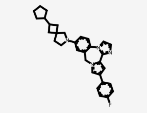 Fc1ccc(-c2cc3n(c2)Cc2cc(N4CCC5(CC(C6CCCC6)C5)C4)ccc2-n2ccnc2-3)cc1